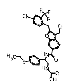 CCSc1ccc(C(CNC(C)=O)NC(=O)c2ccc3c(CC)c(Cc4ccc(Cl)cc4C(F)(F)F)oc3c2)cc1